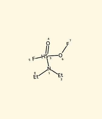 CCN(CC)[SH](=O)(F)OF